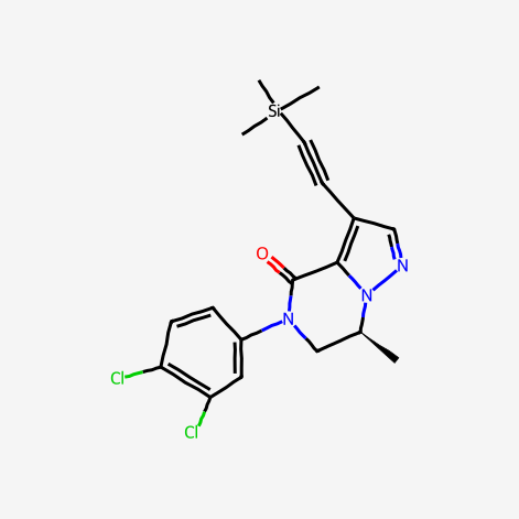 C[C@H]1CN(c2ccc(Cl)c(Cl)c2)C(=O)c2c(C#C[Si](C)(C)C)cnn21